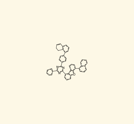 C1=Cc2cccc(-c3ccc(-c4nc(-c5ccccc5)nc(-c5cccc6oc7c(-c8cccc9ccccc89)cccc7c56)n4)cc3)c2CC1